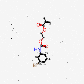 C=C(C)C(=O)OCCOC(=O)Nc1cccc(Br)c1